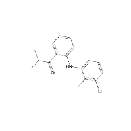 Cc1c(Cl)cccc1Nc1ccccc1C(=O)C(C)C